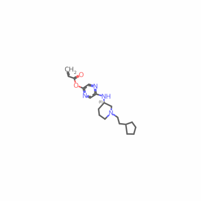 C=CC(=O)Oc1cnc(N[C@@H]2CCCN(CCC3CCCC3)C2)cn1